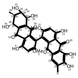 COc1cc(O)c2c(c1-c1c(OC)cc(O)c3c1C(=O)c1cc(C)c(O)c(O)c1C3=O)C(=O)C1=C(C2=O)[C@H](O)[C@@H](C)[C@@](C)(O)[C@H]1O